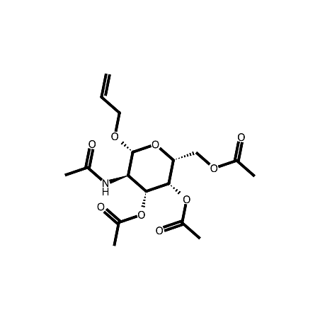 C=CCO[C@@H]1O[C@H](COC(C)=O)[C@H](OC(C)=O)[C@H](OC(C)=O)[C@H]1NC(C)=O